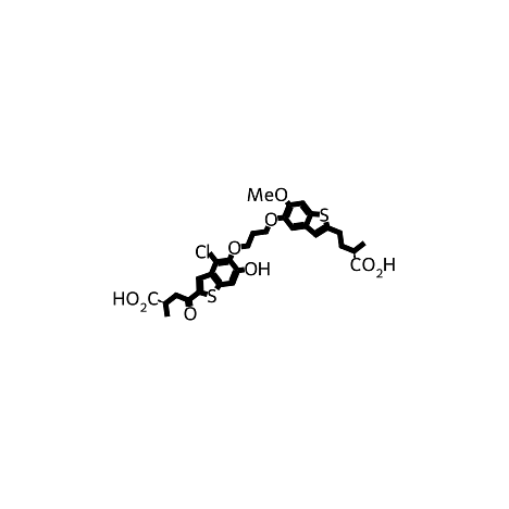 COc1cc2sc(CC[C@H](C)C(=O)O)cc2cc1OCCCOc1c(O)cc2sc(C(=O)C[C@H](C)C(=O)O)cc2c1Cl